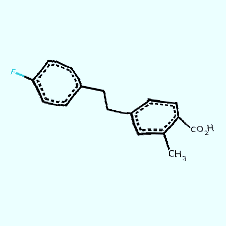 Cc1cc(CCc2ccc(F)cc2)ccc1C(=O)O